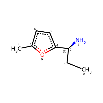 CC[C@H](N)c1ccc(C)o1